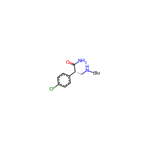 CC(C)(C)NC[C@@H](C(N)=O)c1ccc(Cl)cc1